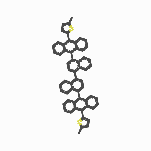 Cc1ccc(-c2c3ccccc3c(-c3ccc(-c4ccc(-c5c6ccccc6c(-c6ccc(C)s6)c6ccccc56)c5ccccc45)c4ccccc34)c3ccccc23)s1